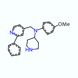 COc1ccc(N(Cc2ccnc(-c3ccccc3)c2)C2CCNCC2)cc1